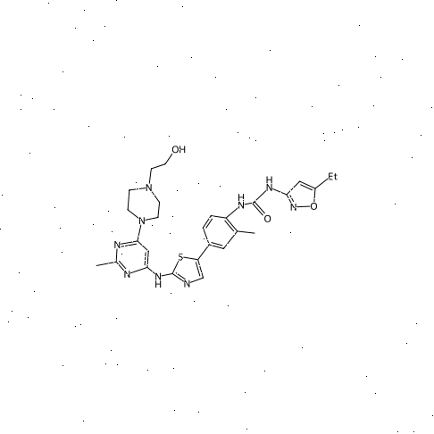 CCc1cc(NC(=O)Nc2ccc(-c3cnc(Nc4cc(N5CCN(CCO)CC5)nc(C)n4)s3)cc2C)no1